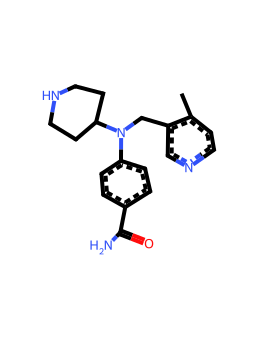 Cc1ccncc1CN(c1ccc(C(N)=O)cc1)C1CCNCC1